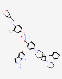 CC(C)c1ccccc1[C@@H]1CCCN1C1CC2(CCN(c3ccc(C(=O)NS(=O)(=O)c4ccc(NCC5C6COCC56)c([N+](=O)[O-])c4)c(Oc4cnc5[nH]ccc5c4)c3)CC2)C1